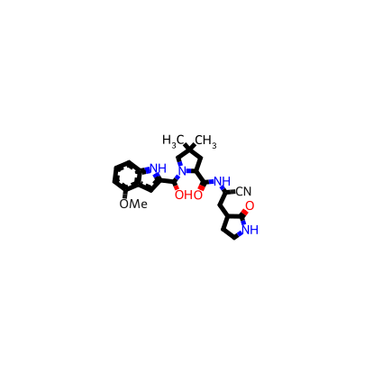 COc1cccc2[nH]c(C(O)N3CC(C)(C)CC3C(=O)NC(C#N)CC3CCNC3=O)cc12